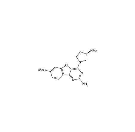 CN[C@@H]1CCN(c2nc(N)nc3c2oc2cc(OC)ccc23)C1